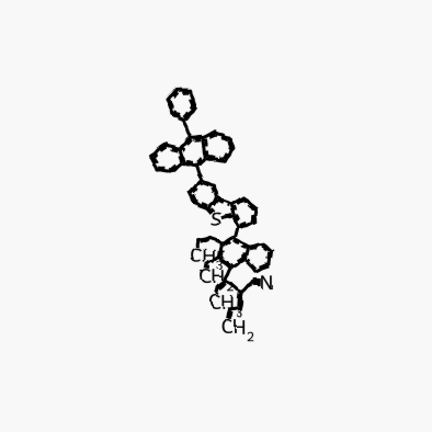 C=C/C=C(C#N)\C(=C/C)c1c(C=C)c(/C=C\C)c(-c2cccc3c2sc2ccc(-c4c5ccccc5c(-c5ccccc5)c5ccccc45)cc23)c2ccccc12